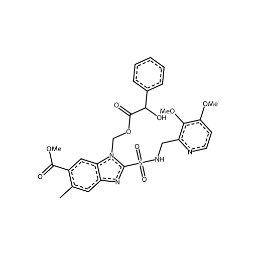 COC(=O)c1cc2c(cc1C)nc(S(=O)(=O)NCc1nccc(OC)c1OC)n2COC(=O)C(O)c1ccccc1